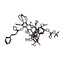 C=CCN1[C@@H]2c3c(cc(C)c(OC)c3O)C[C@@H]1[C@H](C#N)N1C2[C@@H]2SC[C@]3(NCCc4cc(OC(=O)OC(C)(C)C)c(OC)cc43)C(=O)OC[C@H]1c1c3c(c(C)c(OC(=O)/C=C/c4ccccc4)c12)OCO3